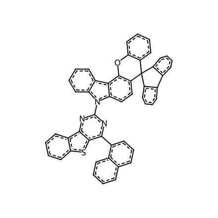 c1ccc2c(c1)Oc1c(ccc3c1c1ccccc1n3-c1nc(-c3cccc4ccccc34)c3sc4ccccc4c3n1)C21c2ccccc2-c2ccccc21